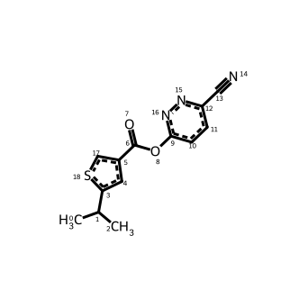 CC(C)c1cc(C(=O)Oc2ccc(C#N)nn2)cs1